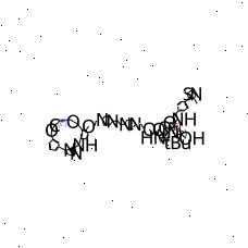 Cc1ncsc1-c1ccc(CNC(=O)[C@@H]2C[C@@H](O)CN2C(=O)[C@@H](NC(=O)COCCN2CCN(CCN3CCN(CCOc4ccc5cc4COC/C=C/COCc4cccc(c4)-c4ccnc(n4)N5)CC3)CC2)C(C)(C)C)cc1